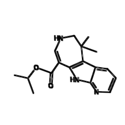 CC(C)OC(=O)C1=CNCC(C)(C)c2c1[nH]c1ncccc21